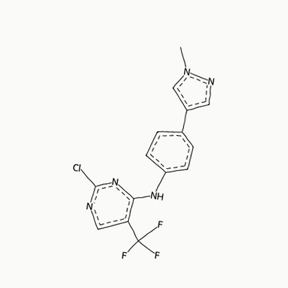 Cn1cc(-c2ccc(Nc3nc(Cl)ncc3C(F)(F)F)cc2)cn1